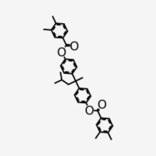 Cc1ccc(C(=O)Oc2ccc(C(C)(CC(C)C)c3ccc(OC(=O)c4ccc(C)c(C)c4)cc3)cc2)cc1C